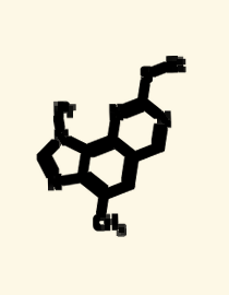 CCSc1ncc2cc(C)c3ncn(C(C)C)c3c2n1